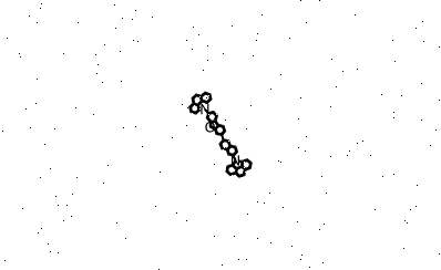 c1cc2ccc3cccc4c3c2c(c1)n4-c1ccc2cc(-c3ccc4c(c3)oc3cc(-n5c6cccc7ccc8cccc5c8c76)ccc34)ccc2c1